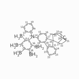 Bc1c(B)c(B)c(N(c2ccccc2)c2ccc3c(c2)-c2ccccc2C32C3CC4CC(C3)CC2C4)c(B)c1B